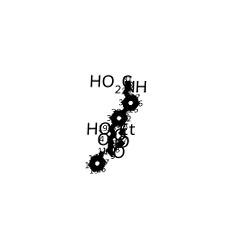 CCO[C@H](C(=O)N1C(=O)OC[C@@H]1Cc1ccccc1)[C@H](O)c1ccc(-c2cccc(CNC(=O)O)c2)cc1